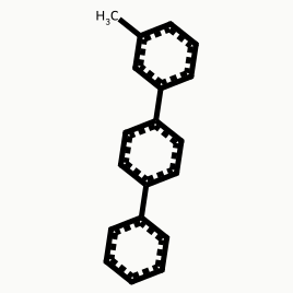 Cc1cccc(-c2ccc(-c3ccccc3)cc2)c1